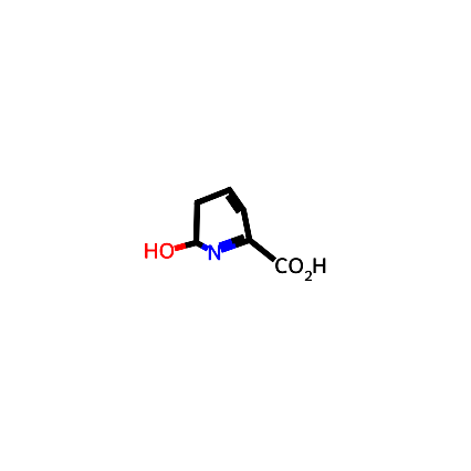 O=C(O)C1=NC(O)CC=C1